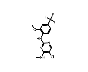 CNc1nc(Nc2ccc(C(F)(F)F)cc2OC)ncc1Cl